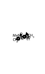 CCN(c1cc2nn(-c3ccc(Cl)c(F)c3)c(C(=O)NC)c2cc1C1CC1)S(C)(=O)=O